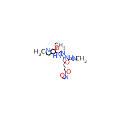 COc1cc2nc(C)ccc2cc1-c1cnc([C@H](CCCCCC(=O)c2ncco2)NC(=O)C2CN(C)C2)[nH]1